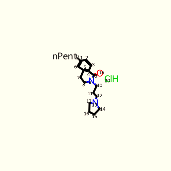 CCCCCc1ccc2c(c1)CCN(CCCN1CCCC1)C2=O.Cl